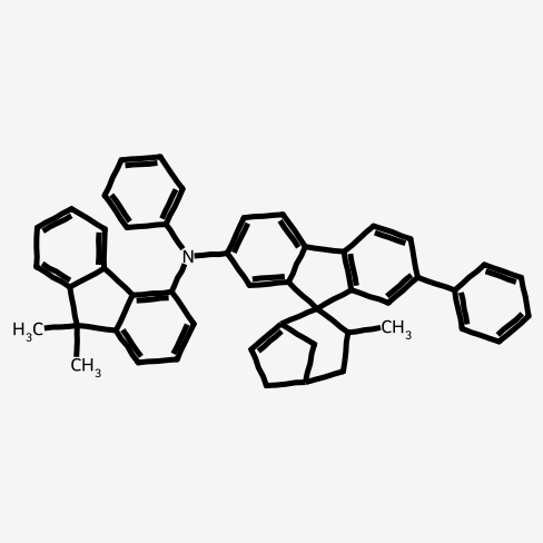 CC1CC2CC=C(C2)C12c1cc(-c3ccccc3)ccc1-c1ccc(N(c3ccccc3)c3cccc4c3-c3ccccc3C4(C)C)cc12